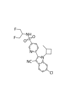 CC1CCC1n1c(-c2ccc(S(=O)(=O)NC(CF)CF)cn2)c(C#N)c2ccc(Cl)cc21